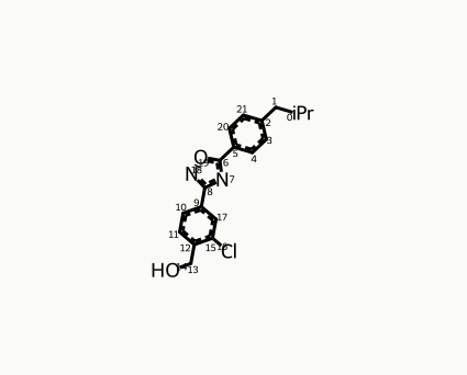 CC(C)Cc1ccc(-c2nc(-c3ccc(CO)c(Cl)c3)no2)cc1